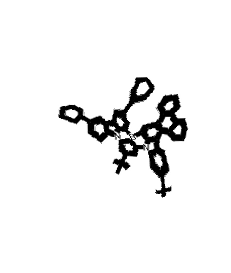 CC(C)(C)c1cc2c3c(c1)-n1c4cc(C(C)(C)C)ccc4c4c5c6ccccc6c6ccccc6c5cc(c41)B3c1cc(C3CCCCC3)cc3c4cc(C5CCCCC5)ccc4n-2c13